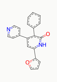 O=c1[nH]c(-c2ccco2)cc(-c2ccncc2)c1-c1ccccc1